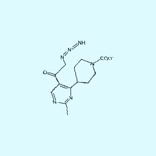 Cc1ncc(C(=O)CN=[N+]=N)c(C2CCN(C(=O)[O-])CC2)n1